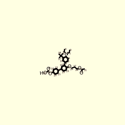 CCN(CC)c1ccc(-c2cc(-c3ccc(OC(=O)O)cc3)ccc2OCCCOC(C)=O)cc1C(C)(C)C